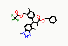 Cc1ccc(C(c2ccc3c(nnn3C)c2C)C(C)C(=O)OCc2ccccc2)cc1COC(=O)C(F)(F)F